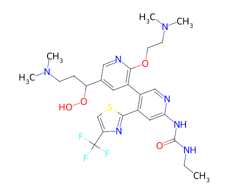 CCNC(=O)Nc1cc(-c2nc(C(F)(F)F)cs2)c(-c2cc(C(CCN(C)C)OO)cnc2OCCN(C)C)cn1